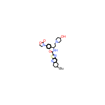 CC(C)(C)[C@H]1CCc2nc3sc(C(=O)NC(CCN4CCC(O)CC4)c4ccc(N5CCOC5=O)cc4)nc3cc2C1